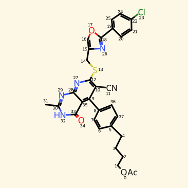 CC(=O)OCCCCc1ccc(-c2c(C#N)c(SCc3coc(-c4ccc(Cl)cc4)n3)nc3nc(C)[nH]c(=O)c23)cc1